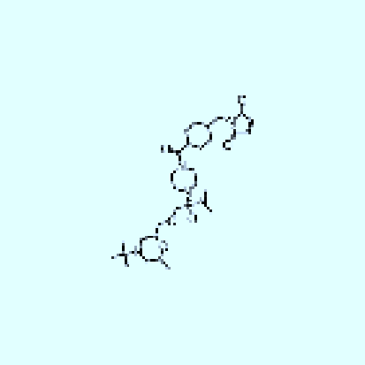 CC1CN(C(C)(C)C)CC(COCP(=O)(N(C)C)N2CCN(C(=O)C3CCC(CN4C(=O)C=CC4=O)CC3)CC2)O1